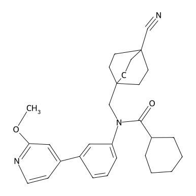 COc1cc(-c2cccc(N(CC34CCC(C#N)(CC3)CC4)C(=O)C3CCCCC3)c2)ccn1